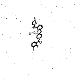 CCOC(=O)C1(Cc2cccc(Nc3cc[nH]n3)n2)CCN(C(=O)c2cccc(I)c2F)CC1